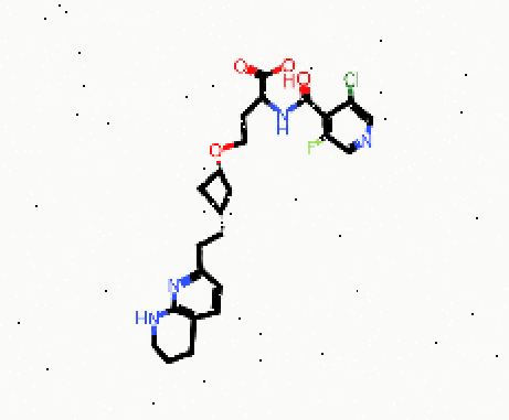 O=C(NC(CCO[C@H]1C[C@@H](CCc2ccc3c(n2)NCCC3)C1)C(=O)O)c1c(F)cncc1Cl